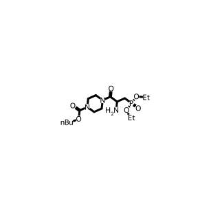 CCCCOC(=O)N1CCN(C(=O)C(N)CP(=O)(OCC)OCC)CC1